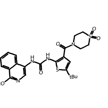 CC(C)(C)c1cc(C(=O)N2CCS(=O)(=O)CC2)c(NC(=O)Nc2cnc(O)c3ccccc23)s1